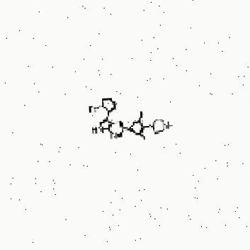 CCc1ccccc1-c1c[nH]c2ncc(-c3cc(C)c(N4CCN(C)CC4)c(F)c3)cc12